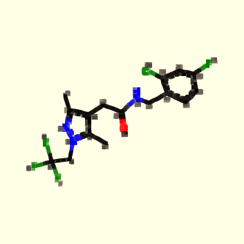 Cc1nn(CC(F)(F)F)c(C)c1CC(=O)NCc1ccc(F)cc1Cl